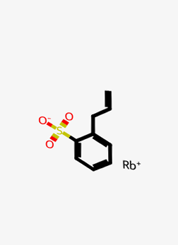 C=CCc1ccccc1S(=O)(=O)[O-].[Rb+]